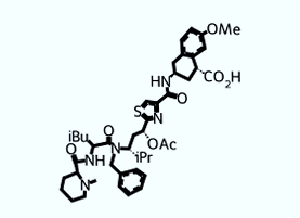 CCC(C)C(NC(=O)C1CCCCN1C)C(=O)N(Cc1ccccc1)[C@H](C[C@@H](OC(C)=O)c1nc(C(=O)N[C@H]2Cc3ccc(OC)cc3[C@H](C(=O)O)C2)cs1)C(C)C